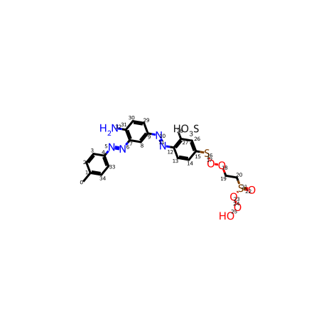 Cc1ccc(N=Nc2cc(N=Nc3ccc(SOOCCS(=O)OOO)cc3S(=O)(=O)O)ccc2N)cc1